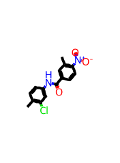 Cc1ccc(NC(=O)c2ccc([N+](=O)[O-])c(C)c2)cc1Cl